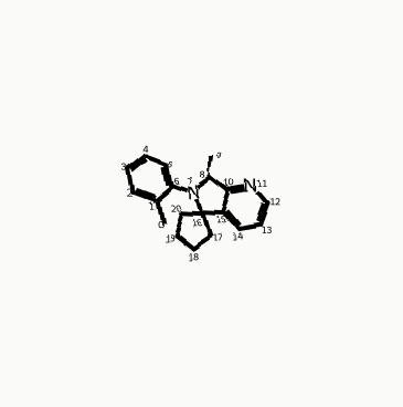 Cc1ccccc1N1[C@@H](C)c2ncccc2C12CCCC2